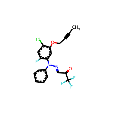 CC#CCOc1cc(N(N=CC(=O)C(F)(F)F)c2ccccc2)c(F)cc1Cl